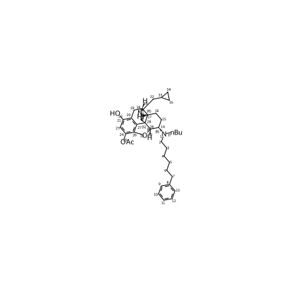 CCCCN(CCCCCCc1ccccc1)[C@@H]1CC[C@H]2[C@H]3Cc4c(O)cc(OC(C)=O)c5c4[C@@]2(CCN3CC2CC2)[C@H]1O5